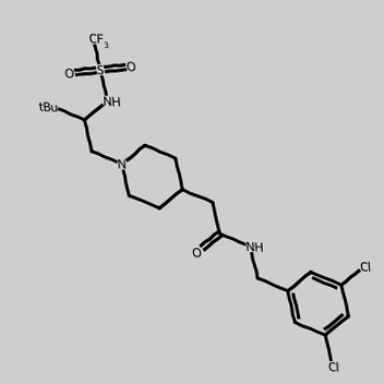 CC(C)(C)C(CN1CCC(CC(=O)NCc2cc(Cl)cc(Cl)c2)CC1)NS(=O)(=O)C(F)(F)F